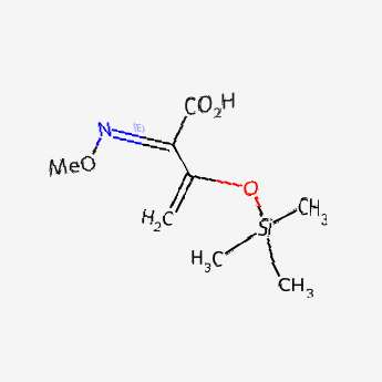 C=C(O[Si](C)(C)C)/C(=N\OC)C(=O)O